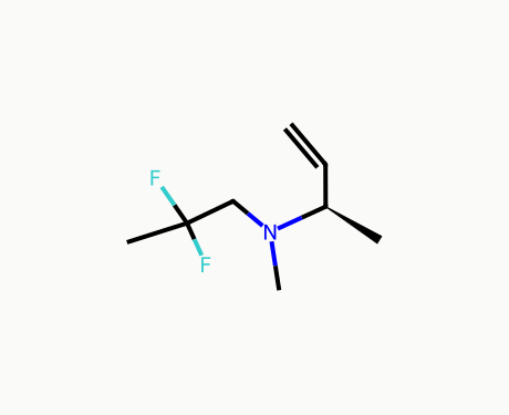 C=C[C@@H](C)N(C)CC(C)(F)F